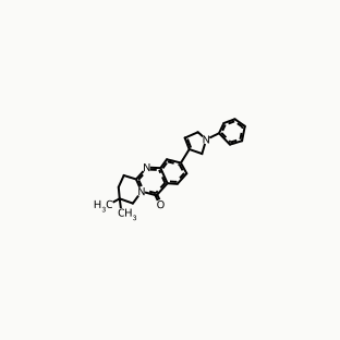 CC1(C)CCc2nc3cc(C4=CCN(c5ccccc5)C4)ccc3c(=O)n2C1